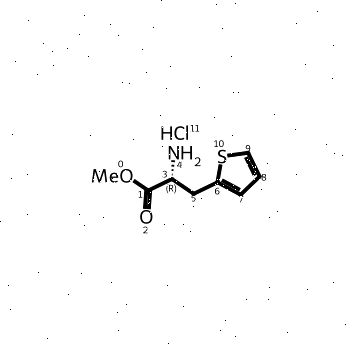 COC(=O)[C@H](N)Cc1cccs1.Cl